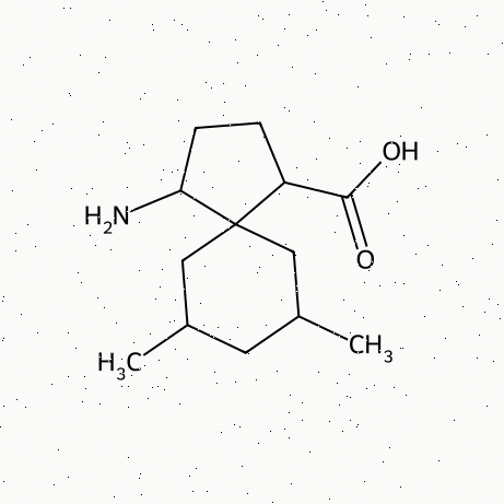 CC1CC(C)CC2(C1)C(N)CCC2C(=O)O